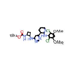 COc1cc(OC)c(Cl)c(Nc2ncccc2-c2cc(N[C@@H]3CC[C@@H]3NC(=O)OC(C)(C)C)ncn2)c1Cl